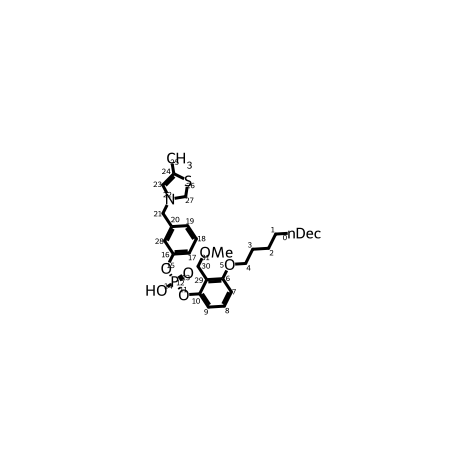 CCCCCCCCCCCCCCOc1cccc(OP(=O)(O)Oc2cccc(CN3C=C(C)SC3)c2)c1COC